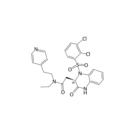 CCN(CCc1ccncc1)C(=O)C[C@@H]1C(=O)Nc2ccccc2N1S(=O)(=O)c1cccc(Cl)c1Cl